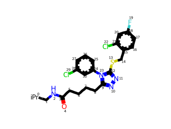 CC(C)CNC(=O)CCCCc1nnc(SCc2ccc(F)cc2Cl)n1-c1cccc(Cl)c1